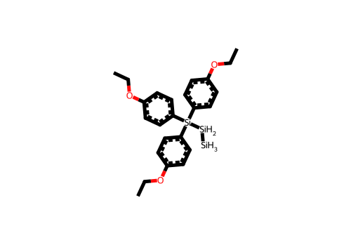 CCOc1ccc([Si]([SiH2][SiH3])(c2ccc(OCC)cc2)c2ccc(OCC)cc2)cc1